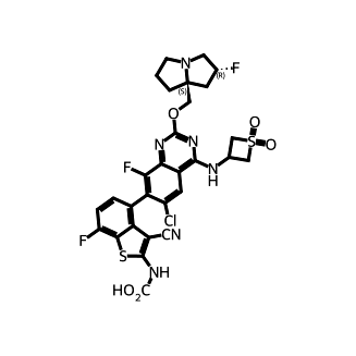 N#Cc1c(NC(=O)O)sc2c(F)ccc(-c3c(Cl)cc4c(NC5CS(=O)(=O)C5)nc(OC[C@@]56CCCN5C[C@H](F)C6)nc4c3F)c12